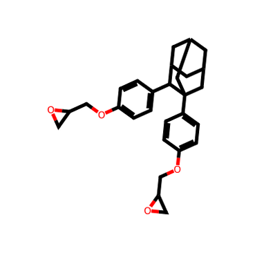 c1cc(C2C3CC4CC(C3)CC2(c2ccc(OCC3CO3)cc2)C4)ccc1OCC1CO1